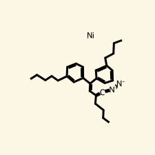 CCCCCc1cccc(C(=CC(=C=[N+]=[N-])CCCC)c2cccc(CCCC)c2)c1.[Ni]